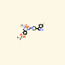 CC(C)N1Cc2cc(S(C)(=O)=O)ccc2N(CCN2CCC(c3c[nH]c4cc(F)ccc34)CC2)S1(=O)=O